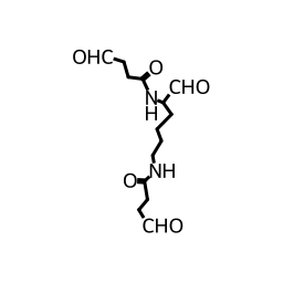 O=CCCC(=O)NCCCCC(C=O)NC(=O)CCC=O